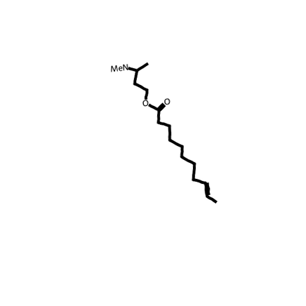 C/C=C/CCCCCCCC(=O)OCCC(C)NC